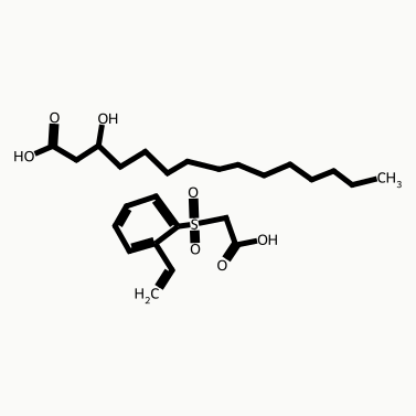 C=Cc1ccccc1S(=O)(=O)CC(=O)O.CCCCCCCCCCCCC(O)CC(=O)O